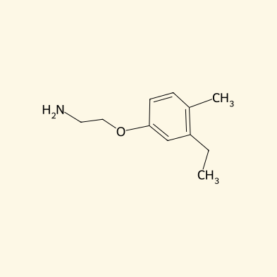 CCc1cc(OCCN)ccc1C